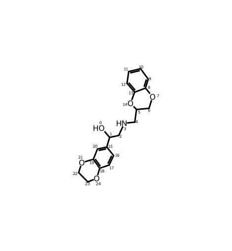 OC(CNCC1COc2ccccc2O1)c1ccc2c(c1)OCCO2